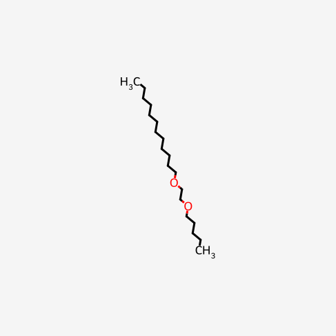 CCCCCCCCCCCCOCCOCCCCC